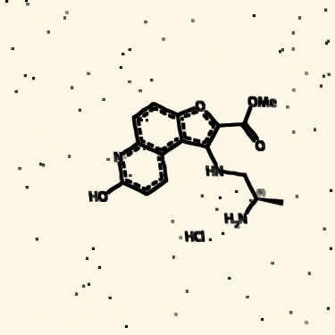 COC(=O)c1oc2ccc3nc(O)ccc3c2c1NC[C@@H](C)N.Cl